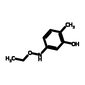 CCONc1ccc(C)c(O)c1